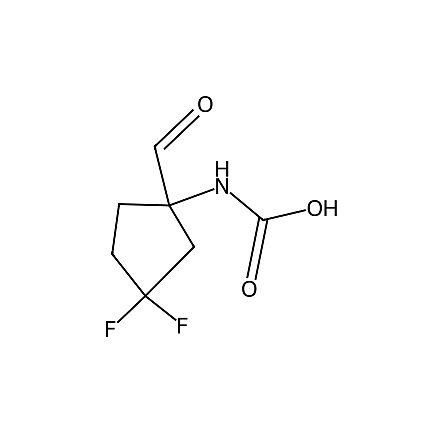 O=CC1(NC(=O)O)CCC(F)(F)C1